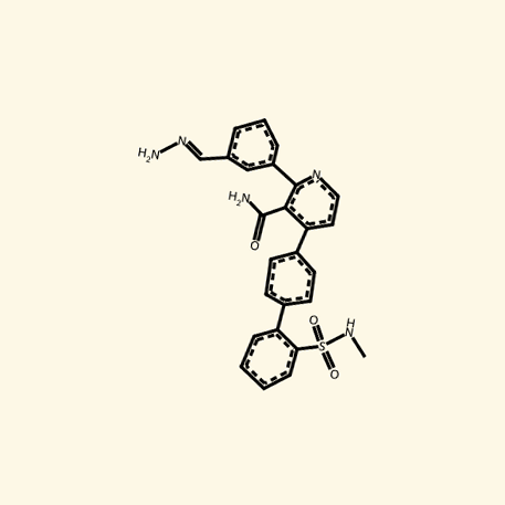 CNS(=O)(=O)c1ccccc1-c1ccc(-c2ccnc(-c3cccc(C=NN)c3)c2C(N)=O)cc1